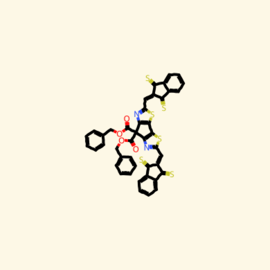 O=C(OCc1ccccc1)C1(C(=O)OCc2ccccc2)c2nc(C=C3C(=S)c4ccccc4C3=S)sc2-c2sc(C=C3C(=S)c4ccccc4C3=S)nc21